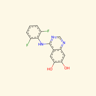 Oc1cc2ncnc(Nc3c(F)cccc3F)c2cc1O